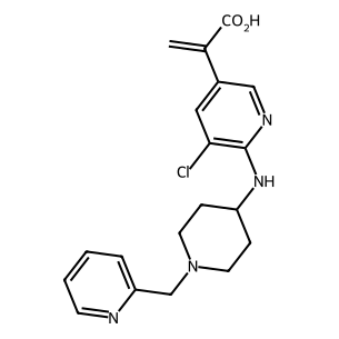 C=C(C(=O)O)c1cnc(NC2CCN(Cc3ccccn3)CC2)c(Cl)c1